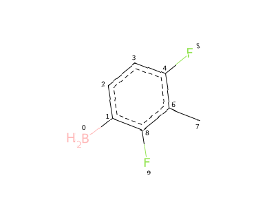 Bc1ccc(F)c(C)c1F